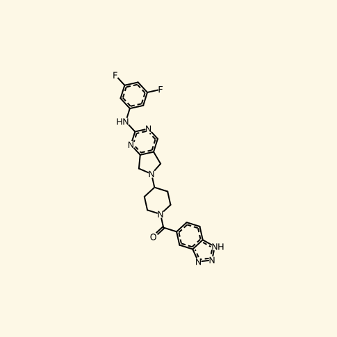 O=C(c1ccc2[nH]nnc2c1)N1CCC(N2Cc3cnc(Nc4cc(F)cc(F)c4)nc3C2)CC1